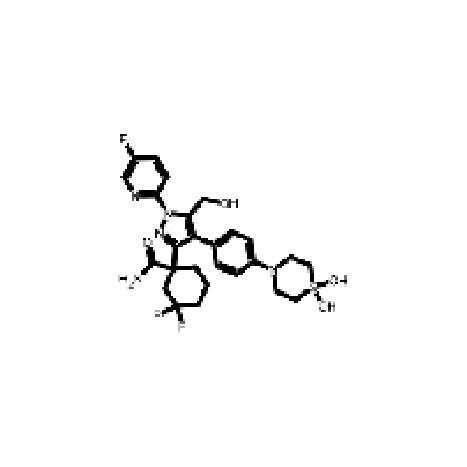 NC(=O)C1(c2nn(-c3ccc(F)cn3)c(CO)c2-c2ccc(N3CCS(O)(O)CC3)cc2)CCCC(F)(F)C1